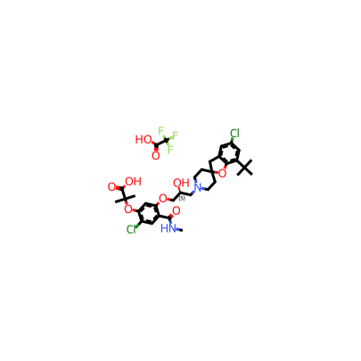 CNC(=O)c1cc(Cl)c(OC(C)(C)C(=O)O)cc1OC[C@@H](O)CN1CCC2(CC1)Cc1cc(Cl)cc(C(C)(C)C)c1O2.O=C(O)C(F)(F)F